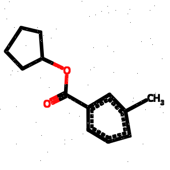 Cc1cccc(C(=O)OC2CCCC2)c1